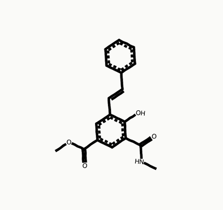 CNC(=O)c1cc(C(=O)OC)cc(C=Cc2ccccc2)c1O